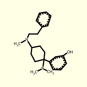 CN(CCc1ccccc1)C1CCC(c2cccc(O)c2)(N(C)C)CC1